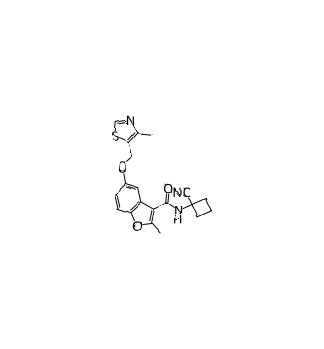 Cc1ncsc1COc1ccc2oc(C)c(C(=O)NC3(C#N)CCC3)c2c1